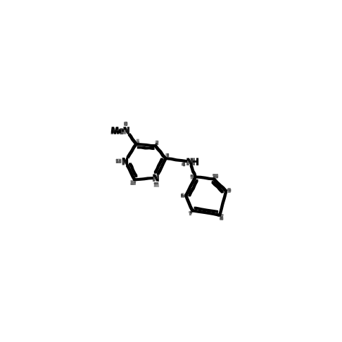 CNc1cc(Nc2cc[c]cc2)ncn1